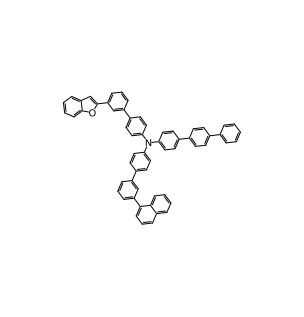 c1ccc(-c2ccc(-c3ccc(N(c4ccc(-c5cccc(-c6cc7ccccc7o6)c5)cc4)c4ccc(-c5cccc(-c6cccc7ccccc67)c5)cc4)cc3)cc2)cc1